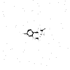 CC(C)c1nc2c3ccc(Br)cc3nc(Cl)n2n1